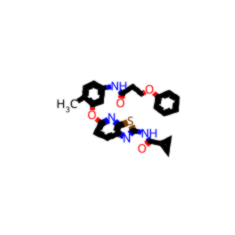 Cc1ccc(NC(=O)CCOc2ccccc2)cc1Oc1ccc2nc(NC(=O)C3CC3)sc2n1